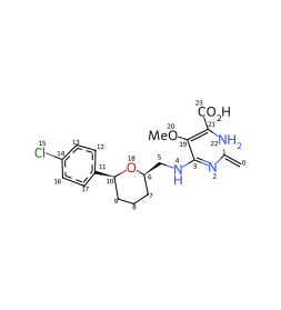 C=C/N=C(NC[C@H]1CCC[C@@H](c2ccc(Cl)cc2)O1)\C(OC)=C(/N)C(=O)O